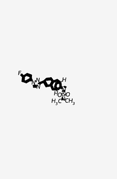 CN(C)S(=O)(=O)N1C[C@@]12[C@@H]1CC[C@H]2Cc2ccc(-c3ncn(-c4ccc(F)cc4)n3)cc2C1